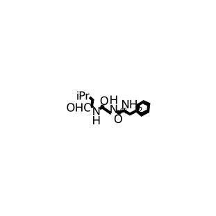 CC(C)CC(C=O)NC(=O)CNC(=O)[C@H](N)Cc1ccccc1